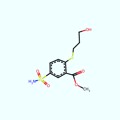 COC(=O)c1cc(S(N)(=O)=O)ccc1SCCCO